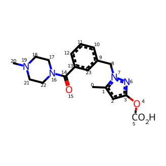 Cc1cc(OC(=O)O)nn1Cc1cccc(C(=O)N2CCN(C)CC2)c1